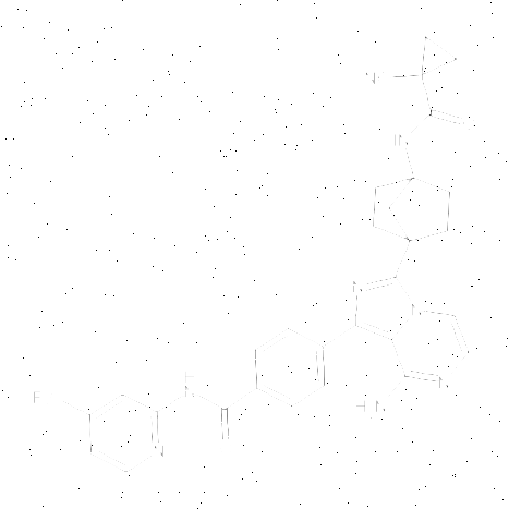 N#CC1(C(=O)NC23CCC(c4nc(-c5ccc(C(=O)Nc6cc(C(F)(F)F)ccn6)cc5)c5c(N)nccn45)(CC2)C3)CC1